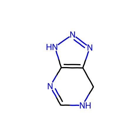 C1=Nc2[nH]nnc2CN1